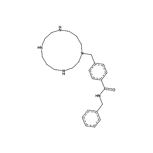 O=C(NCc1ccccc1)c1ccc(CN2CCCNCCNCCCNCC2)cc1